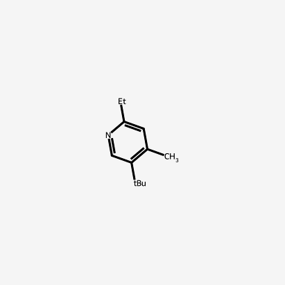 CCc1cc(C)c(C(C)(C)C)cn1